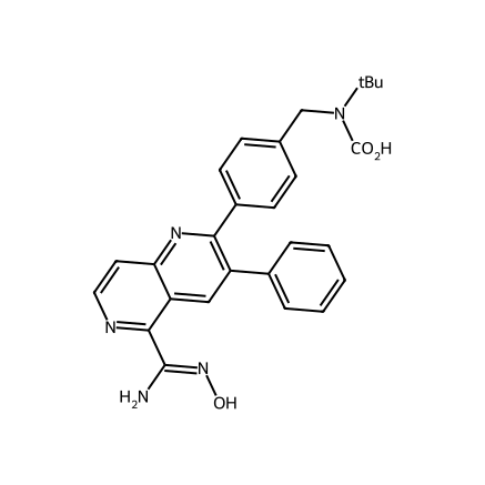 CC(C)(C)N(Cc1ccc(-c2nc3ccnc(C(N)=NO)c3cc2-c2ccccc2)cc1)C(=O)O